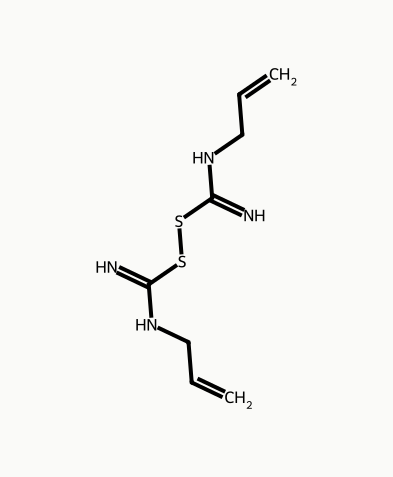 C=CCNC(=N)SSC(=N)NCC=C